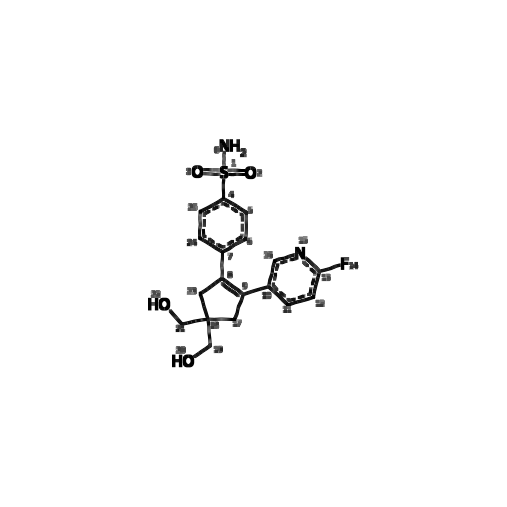 NS(=O)(=O)c1ccc(C2=C(c3ccc(F)nc3)CC(CO)(CO)C2)cc1